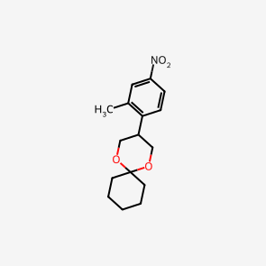 Cc1cc([N+](=O)[O-])ccc1C1COC2(CCCCC2)OC1